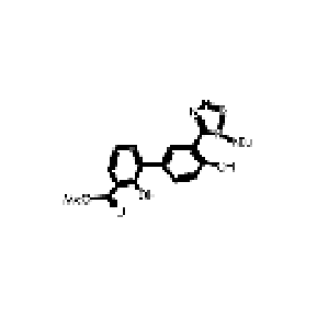 CCCCn1nnnc1-c1cc(-c2cccc(C(=O)OC)c2O)ccc1O